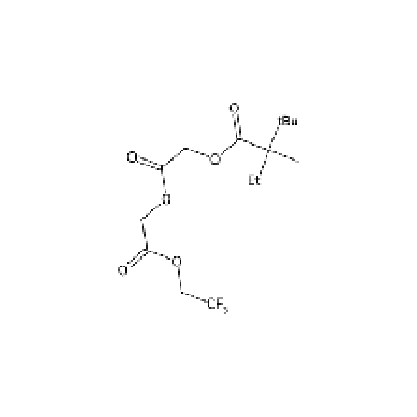 CCC(C)(C(=O)OCC(=O)OCC(=O)OCC(F)(F)F)C(C)(C)C